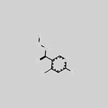 CCONC(=O)c1cnc(Cl)cc1Cl